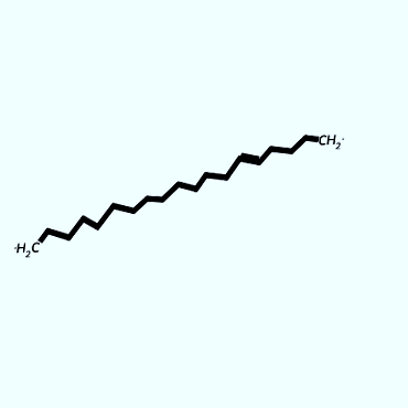 [CH2]CCC/C=C/CCCCCCCCCCCC[CH2]